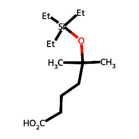 CC[Si](CC)(CC)OC(C)(C)CCCC(=O)O